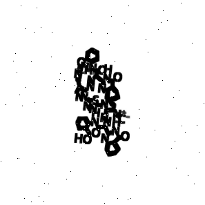 [C-]#[N+]c1cnn(-c2nnc(-n3ncc(C#N)c3N=NC(C(=O)Nc3ccccc3OC)c3nc4ccccc4c(=O)[nH]3)s2)c1N=NC(C(=O)Nc1ccccc1CO)c1nc2ccccc2c(=O)[nH]1